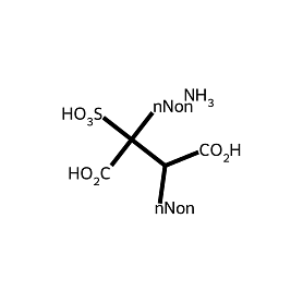 CCCCCCCCCC(C(=O)O)C(CCCCCCCCC)(C(=O)O)S(=O)(=O)O.N